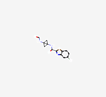 O=CNC12CC1(NC(=O)c1nc3cc(Cl)ccc3s1)C2